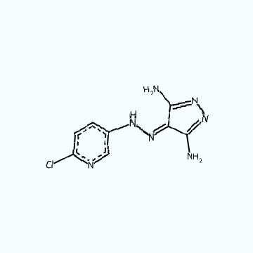 NC1=NN=C(N)C1=NNc1ccc(Cl)nc1